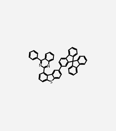 c1ccc(-c2nc(-c3cccc4sc5ccc(-c6ccc7c(c6)C6(c8ccccc8-c8ccccc86)c6ccccc6-7)cc5c34)nc3ccccc23)cc1